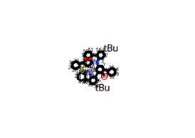 CC(C)(C)c1ccc(N2c3cc4c(oc5ccccc54)c4c3B(c3c2ccc2c3sc3ccccc32)N2c3c-4cc(C(C)(C)C)cc3C3(C)CCCCC23C)c(-c2ccccc2)c1